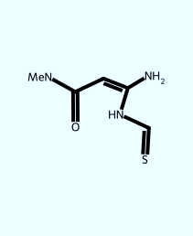 CNC(=O)/C=C(/N)NC=S